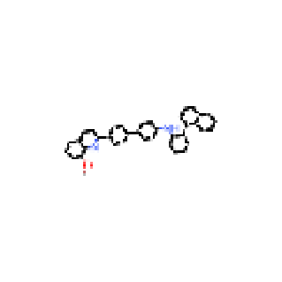 COc1cccc2ccc(-c3ccc(-c4ccc(Nc5ccccc5-c5cccc6ccccc56)cc4)cc3)nc12